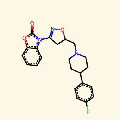 O=c1oc2ccccc2n1C1=NOC(CN2CCC(c3ccc(F)cc3)CC2)C1